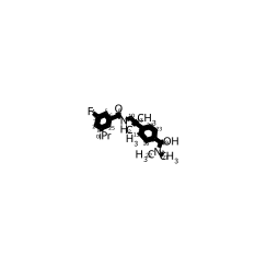 CC(C)c1cc(F)cc(C(=O)NCC(C)(C)c2ccc(C(O)N(C)C)cc2)c1